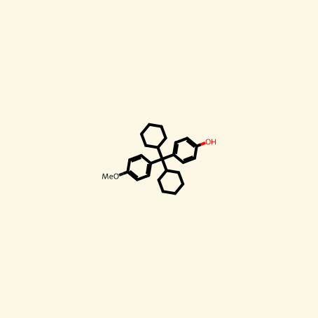 COc1ccc(C(c2ccc(O)cc2)(C2CCCCC2)C2CCCCC2)cc1